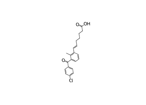 Cc1c(C=CCCCCC(=O)O)cccc1C(=O)c1ccc(Cl)cc1